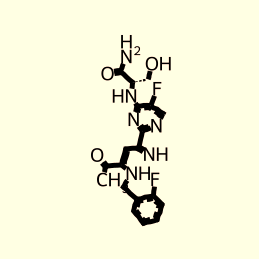 CC(=O)/C(=C/C(=N)c1ncc(F)c(N[C@@H](CO)C(N)=O)n1)NCc1ccccc1F